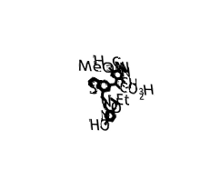 CC[C@@H]1CN(Cc2cc(C(CC(=O)O)c3cc(OC)c4c(nnn4C)c3C)cc3ccsc23)Cc2nc(O)ccc2O1